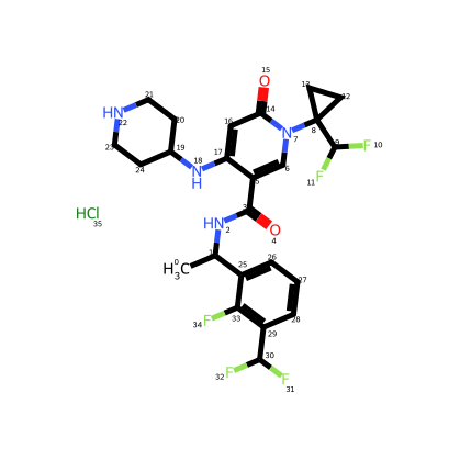 CC(NC(=O)c1cn(C2(C(F)F)CC2)c(=O)cc1NC1CCNCC1)c1cccc(C(F)F)c1F.Cl